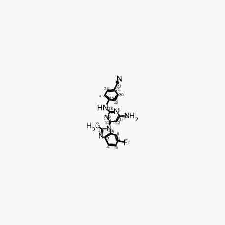 Cc1nc2ccc(F)cc2n1-c1cc(N)nc(Nc2ccc(C#N)cc2)n1